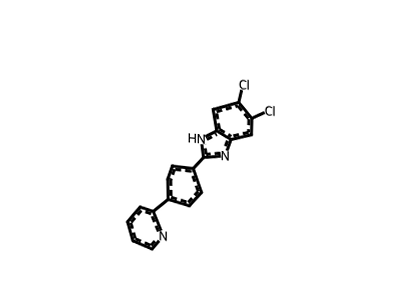 Clc1cc2nc(-c3ccc(-c4ccccn4)cc3)[nH]c2cc1Cl